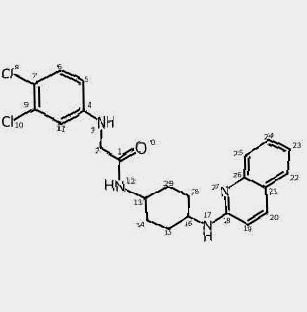 O=C(CNc1ccc(Cl)c(Cl)c1)NC1CCC(Nc2ccc3ccccc3n2)CC1